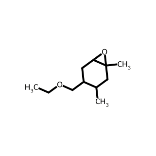 CCOCC1CC2OC2(C)CC1C